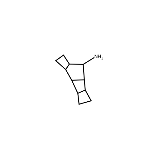 NC1C2CCC2C2C3CCC3C12